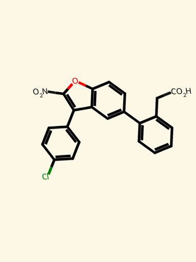 O=C(O)Cc1ccccc1-c1ccc2oc([N+](=O)[O-])c(-c3ccc(Cl)cc3)c2c1